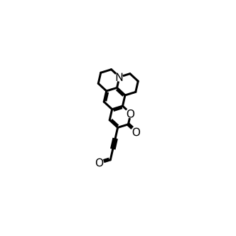 O=CC#Cc1cc2cc3c4c(c2oc1=O)CCCN4CCC3